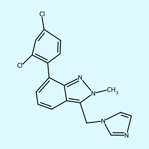 Cn1nc2c(-c3ccc(Cl)cc3Cl)cccc2c1Cn1ccnc1